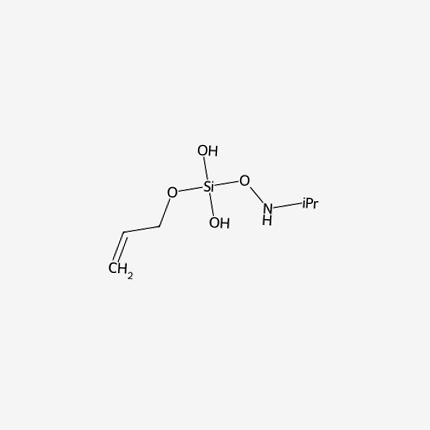 C=CCO[Si](O)(O)ONC(C)C